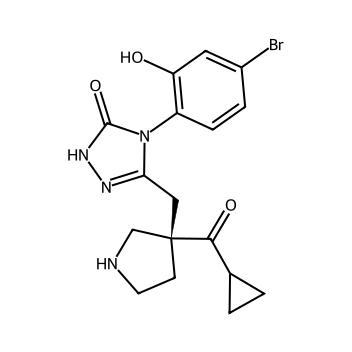 O=C(C1CC1)[C@]1(Cc2n[nH]c(=O)n2-c2ccc(Br)cc2O)CCNC1